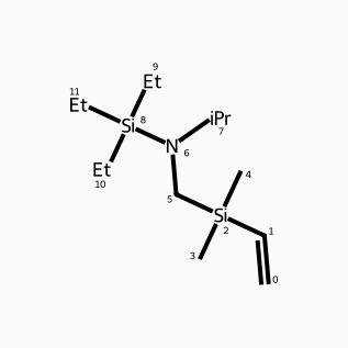 C=C[Si](C)(C)CN(C(C)C)[Si](CC)(CC)CC